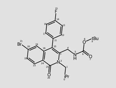 CC(C)Cn1c(CNC(=O)OC(C)(C)C)c(-c2ccc(F)cc2)c2cc(Br)ccc2c1=O